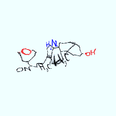 CC12CCC3C4(C)CCC(O)CC4CCC3(N)C1CCC2CCCC(N=O)C1CCOCC1